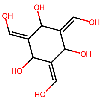 OC=C1C(O)C(=CO)C(O)C(=CO)C1O